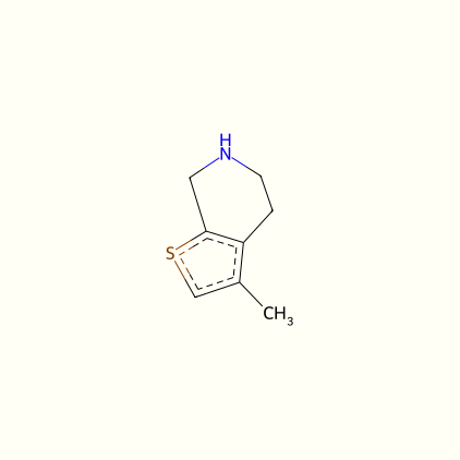 Cc1csc2c1CCNC2